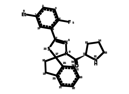 CCc1ccc(F)c(C2=NN(C(=O)[C@@H]3CCCN3)C3(CCc4ccccc43)S2)c1